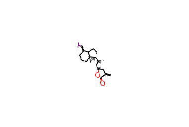 C=C1C[C@@H](C[C@@H](C)[C@H]2CCC3C(=CI)CCC[C@]32C)OC1=O